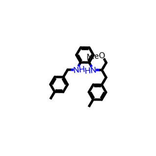 COCC(Cc1ccc(C)cc1)Nc1ccccc1NCc1ccc(C)cc1